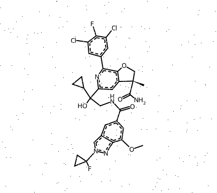 COc1cc(C(=O)NCC(O)(c2cc3c(c(-c4cc(Cl)c(F)c(Cl)c4)n2)OC[C@]3(C)C(N)=O)C2CC2)cc2cn(C3(F)CC3)nc12